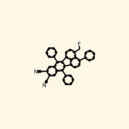 N#Cc1cc2c(-c3ccccc3)c3c(c(-c4ccccc4)c2cc1C#N)-c1ccc(-c2ccccc2)c2c(CF)ccc-3c12